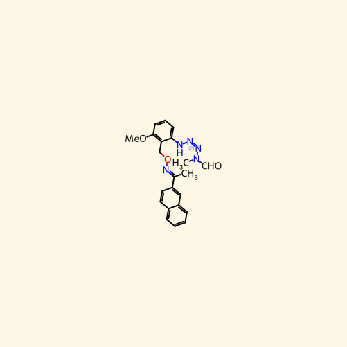 COc1cccc(N/N=N\N(C)C=O)c1CON=C(C)c1ccc2ccccc2c1